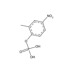 Cc1cc([N+](=O)[O-])ccc1OP(=O)(O)O